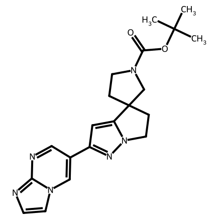 CC(C)(C)OC(=O)N1CCC2(CCn3nc(-c4cnc5nccn5c4)cc32)C1